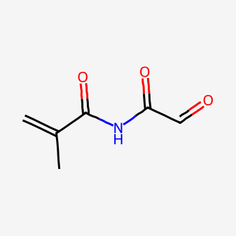 C=C(C)C(=O)NC(=O)C=O